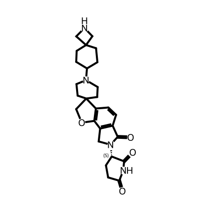 O=C1CC[C@H](N2Cc3c(ccc4c3OCC43CCN(C4CCC5(CC4)CNC5)CC3)C2=O)C(=O)N1